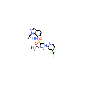 Cc1nn(-c2cc(C(F)(F)F)ccn2)cc1S(=O)(=O)Nc1cccc2cnn(C)c12